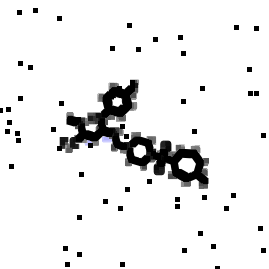 C=N/C(=C\C(=N/CN1CCN(S(=O)(=O)C2C=CCC(C)C=C2)CC1)Nc1ccc(F)cc1)C(F)(F)F